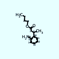 CCCCOC(=O)CC(C)c1ccccc1N